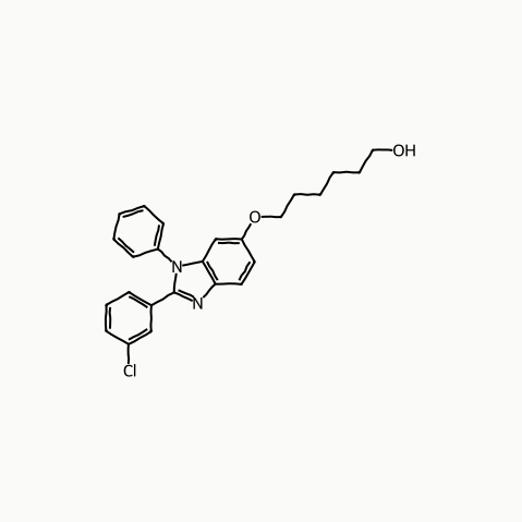 OCCCCCCOc1ccc2nc(-c3cccc(Cl)c3)n(-c3ccccc3)c2c1